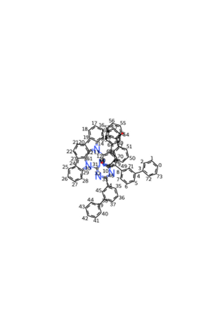 c1ccc(-c2cccc(-c3ccc(-n4c5ccccc5c5ccc6c7ccccc7n(-c7nc(-c8cccc(-c9ccccc9)c8)nc(-c8cccc(-c9ccccc9)c8)n7)c6c54)c(-c4ccccc4)c3)c2)cc1